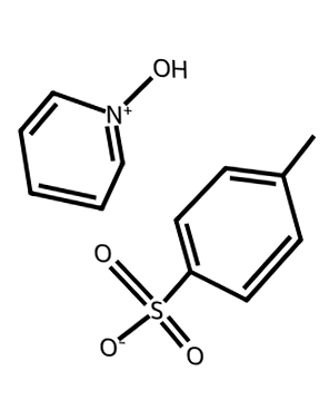 Cc1ccc(S(=O)(=O)[O-])cc1.O[n+]1ccccc1